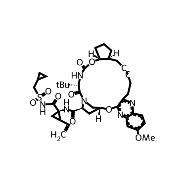 C=CC1C[C@]1(NC(=O)[C@@H]1C[C@@H]2CN1C(=O)[C@H](C(C)(C)C)NC(=O)O[C@@H]1CCC[C@H]1CCCCCc1nc3ccc(OC)cc3nc1O2)C(=O)NS(=O)(=O)CC1CC1